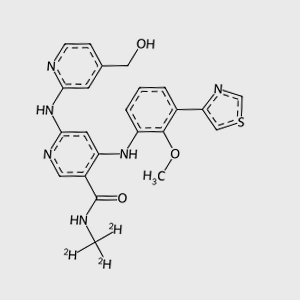 [2H]C([2H])([2H])NC(=O)c1cnc(Nc2cc(CO)ccn2)cc1Nc1cccc(-c2cscn2)c1OC